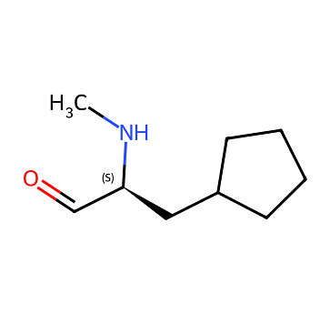 CN[C@H](C=O)CC1CCCC1